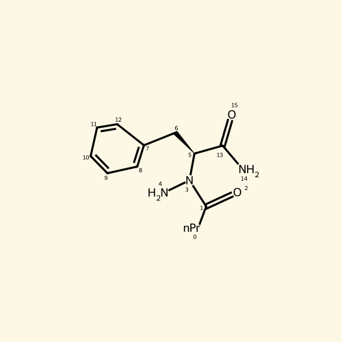 CCCC(=O)N(N)[C@@H](Cc1ccccc1)C(N)=O